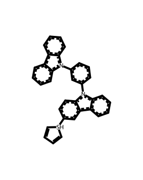 C1=C[SH](c2ccc3c(c2)c2ccccc2n3-c2cccc(-n3c4ccccc4c4ccccc43)c2)C=C1